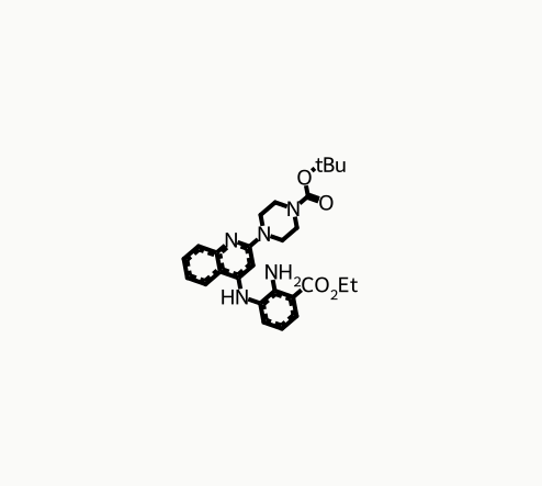 CCOC(=O)c1cccc(Nc2cc(N3CCN(C(=O)OC(C)(C)C)CC3)nc3ccccc23)c1N